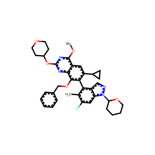 Cc1c(F)cc2c(cnn2C2CCCCO2)c1-c1c(C2CC2)cc2c(OC(C)(C)C)nc(OC3CCOCC3)nc2c1OCc1ccccc1